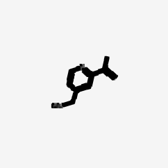 C=C(C)c1cc(CC(C)(C)C)ccn1